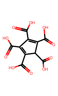 O=C(O)C1=C(C(=O)O)C(C(=O)O)C(C(=O)O)=C1C(=O)O